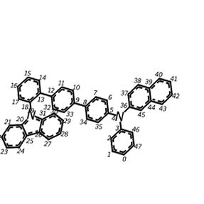 c1ccc(N(c2ccc(-c3ccc(-c4ccccc4-n4c5ccccc5c5ccccc54)cc3)cc2)c2ccc3ccccc3c2)cc1